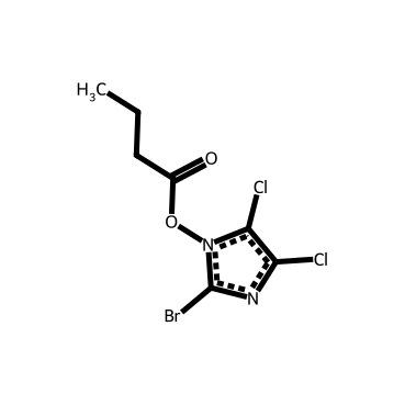 CCCC(=O)On1c(Br)nc(Cl)c1Cl